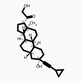 C[C@]12CC[C@H]3[C@@H](CC[C@H]4C[C@](O)(C#CC5CC5)CC[C@@H]43)[C@@H]1CC[C@@H]2C(=O)CO